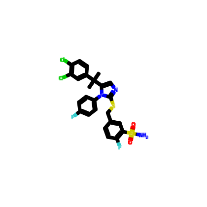 CC(C)(c1ccc(Cl)c(Cl)c1)c1cnc(SCc2ccc(F)c(S(N)(=O)=O)c2)n1-c1ccc(F)cc1